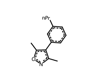 CCCc1cccc(-c2c(C)noc2C)c1